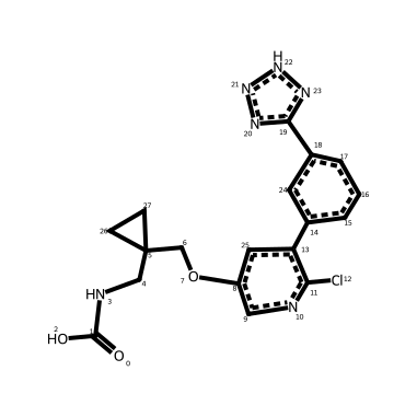 O=C(O)NCC1(COc2cnc(Cl)c(-c3cccc(-c4nn[nH]n4)c3)c2)CC1